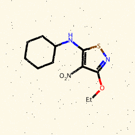 CCOc1nsc(NC2CCCCC2)c1[N+](=O)[O-]